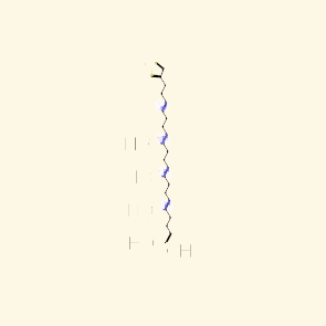 CC(C)=CCC/C(C)=C/CC/C(C)=C/CC/C(C)=C/CC/C=C/CCc1ccsc1